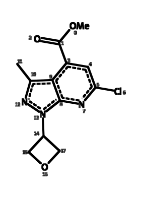 COC(=O)c1cc(Cl)nc2c1c(C)nn2C1COC1